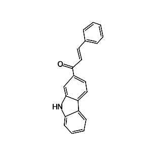 O=C(/C=C/c1ccccc1)c1ccc2c(c1)[nH]c1ccccc12